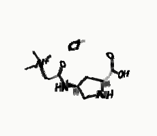 C[N+](C)(C)CC(=O)N[C@@H]1CN[C@@H](C(=O)O)C1.[Cl-]